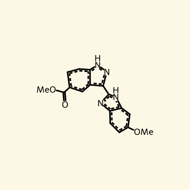 COC(=O)c1ccc2[nH]nc(-c3nc4ccc(OC)cc4[nH]3)c2c1